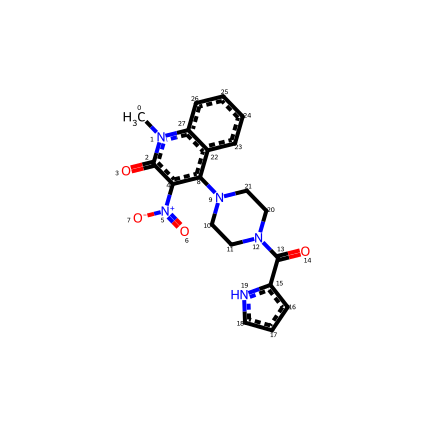 Cn1c(=O)c([N+](=O)[O-])c(N2CCN(C(=O)c3ccc[nH]3)CC2)c2ccccc21